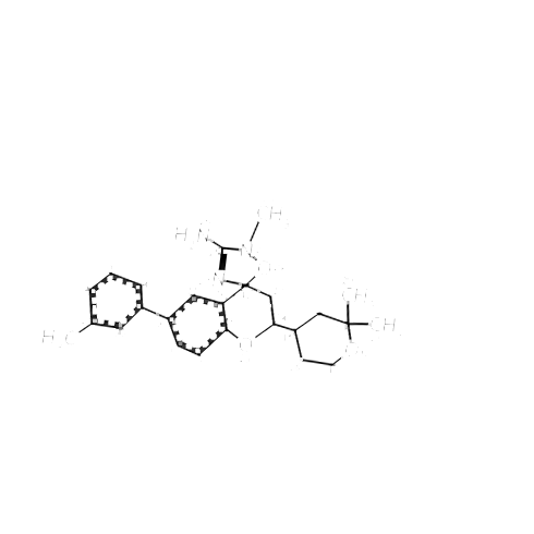 Cc1cccc(-c2ccc3c(c2)C2(CC(C4CCOC(C)(C)C4)O3)N=C(N)N(C)O2)c1